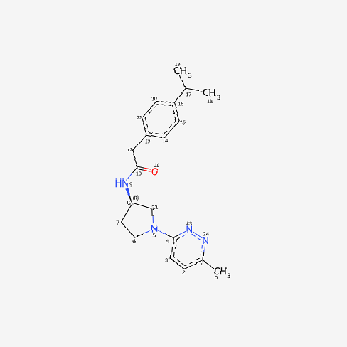 Cc1ccc(N2CC[C@@H](NC(=O)Cc3ccc(C(C)C)cc3)C2)nn1